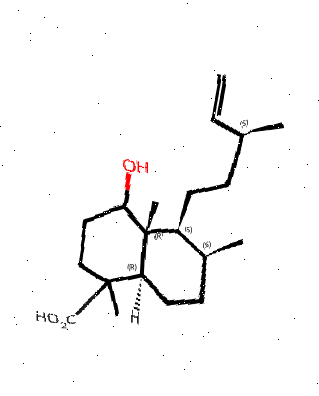 C=C[C@@H](C)CC[C@H]1[C@@H](C)CC[C@H]2C(C)(C(=O)O)CCC(O)[C@]12C